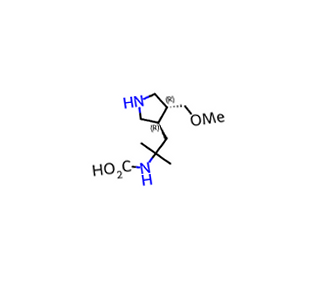 COC[C@H]1CNC[C@@H]1CC(C)(C)NC(=O)O